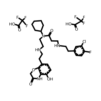 O=C(O)C(F)(F)F.O=C(O)C(F)(F)F.O=C1COc2c(CCNCCN(C(=O)CCNCCc3ccc(F)c(Cl)c3)C3CCCCC3)ccc(O)c2N1